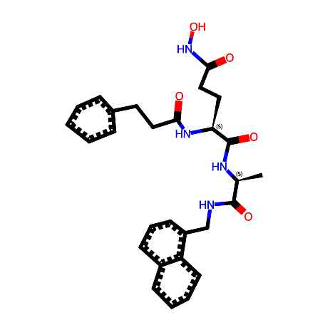 C[C@H](NC(=O)[C@H](CCC(=O)NO)NC(=O)CCc1ccccc1)C(=O)NCc1cccc2ccccc12